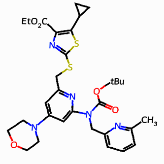 CCOC(=O)c1nc(SCc2cc(N3CCOCC3)cc(N(Cc3cccc(C)n3)C(=O)OC(C)(C)C)n2)sc1C1CC1